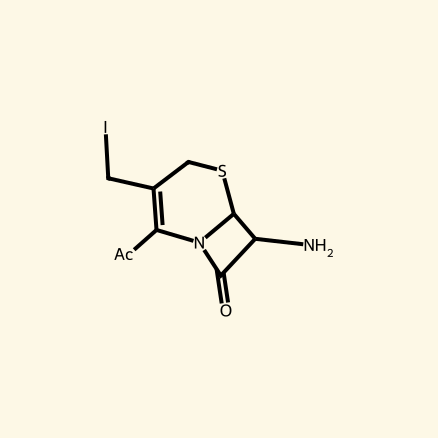 CC(=O)C1=C(CI)CSC2C(N)C(=O)N12